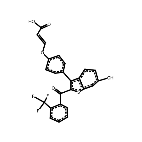 O=C(O)/C=C/Oc1ccc(-c2c(C(=O)c3ccccc3C(F)(F)F)sc3cc(O)ccc23)cc1